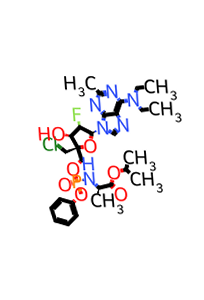 CCN(CC)c1nc(C)nc2c1ncn2[C@@H]1O[C@](CCl)(CO[P@](=O)(N[C@@H](C)C(=O)OC(C)C)Oc2ccccc2)[C@@H](O)[C@H]1F